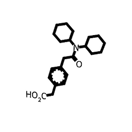 O=C(O)Cc1ccc(CC(=O)N(C2CCCCC2)C2CCCCC2)cc1